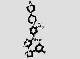 CN1CCN(C2CCN(c3ccc(Nc4cc(N5OCCC5c5cc(F)cc(F)c5)ncn4)cc3C(F)(F)F)CC2)CC1